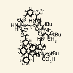 CC[C@H](C)[C@H](NC(=O)[C@@H](CCCN(C(=N)NC(=O)OCc1ccccc1)C(=O)OCc1ccccc1)NC(=O)CCC(C)C)C(=O)N[C@H](C(=O)NCC(=O)N[C@@H](CC(=O)NC(c1ccccc1)(c1ccccc1)c1ccccc1)C(=O)N[C@@H](COC(C)(C)C)C(=O)O)[C@H](C)OC(C)(C)C